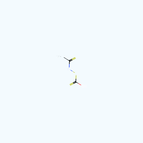 CSC(=S)NSC(O)=S